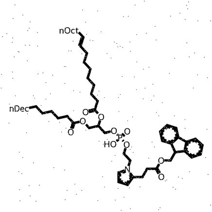 CCCCCCCCC=CCCCCCCCC(=O)OC(COC(=O)CCCCCCCCCCCCCCC)COP(=O)(O)OCCn1cccc1CCC(=O)OCC1c2ccccc2-c2ccccc21